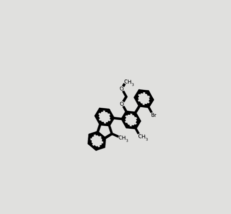 COCOc1c(-c2ccccc2Br)cc(C)cc1-c1cccc2c1C(C)c1ccccc1-2